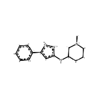 CN1CCCC(Oc2cc(-c3ccccc3)on2)C1